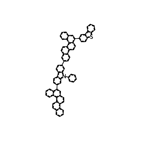 c1ccc(-n2c3cc(-c4ccc5c(ccc6c5ccc5c(-c7ccc8sc9ccccc9c8c7)cc7ccccc7c56)c4)ccc3c3ccc(-c4cc5ccc6c7ccccc7ccc6c5c5ccccc45)cc32)cc1